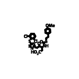 COc1ccc(CCSC(=O)NC(CC(=O)O)C(=O)Cn2nnc(Sc3c(Cl)cccc3Cl)n2)cc1